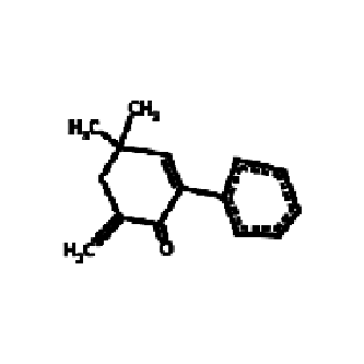 C=C1CC(C)(C)C=C(c2ccccc2)C1=O